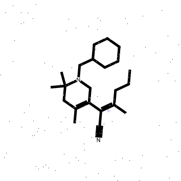 CCC/C(C)=C(/C#N)C1=C(C)CC(C)(C)N(CC2CCCCC2)C1